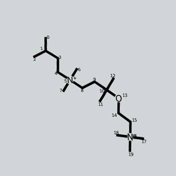 CC(C)CC[N+](C)(C)CCC(C)(C)OCC[N+](C)(C)C